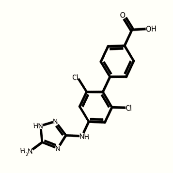 Nc1nc(Nc2cc(Cl)c(-c3ccc(C(=O)O)cc3)c(Cl)c2)n[nH]1